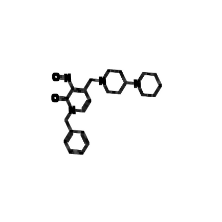 O=Nc1c(CN2CCC(N3CCCCC3)CC2)ccn(Cc2ccccc2)c1=O